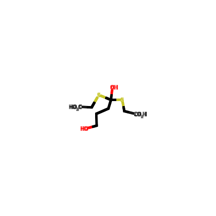 O=C(O)CSC(O)(CCCO)SCC(=O)O